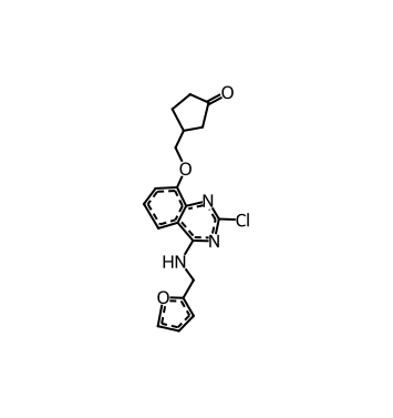 O=C1CCC(COc2cccc3c(NCc4ccco4)nc(Cl)nc23)C1